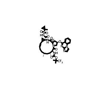 C[C@@H]1CC/C=C\C2C[C@@]2(C(=O)NS(=O)(=O)C2(C)CC2)NC(=O)[C@@H]2C[C@@H](Oc3nc4nccn4c4ccccc34)CN2C(=O)[C@@H](NC(=O)OC(C)(C)C(F)(F)F)[C@H](C)C1